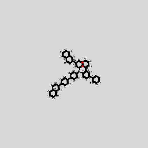 c1ccc(-c2ccc(N(c3ccc(-c4ccc(-c5ccc6ccccc6c5)cc4)cc3)c3cccc(-c4ccc5ccccc5c4)c3)c(-c3ccccc3)c2)cc1